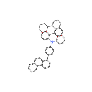 c1ccc(N(c2ccc(-c3cccc4c3ccc3ccccc34)cc2)c2ccccc2-c2cccc3cccc(C4CCCCC4)c23)cc1